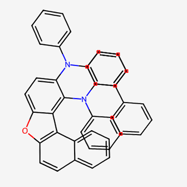 c1ccc(-c2ccccc2N(c2ccccc2)c2c(N(c3ccccc3)c3ccccc3)ccc3oc4ccc5ccccc5c4c23)cc1